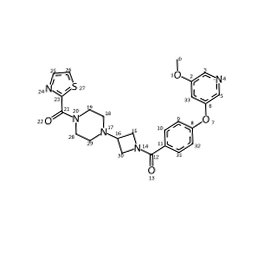 COc1cncc(Oc2ccc(C(=O)N3CC(N4CCN(C(=O)c5nccs5)CC4)C3)cc2)c1